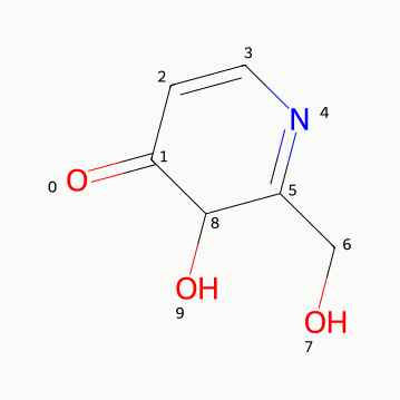 O=C1C=CN=C(CO)C1O